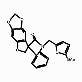 CSc1ccc(CN2C(=O)C3(COc4cc5c(cc43)OCO5)c3ccccc32)o1